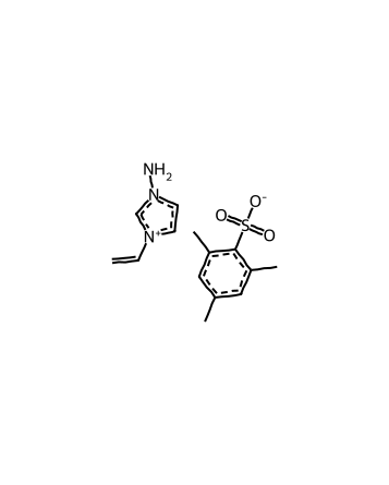 C=C[n+]1ccn(N)c1.Cc1cc(C)c(S(=O)(=O)[O-])c(C)c1